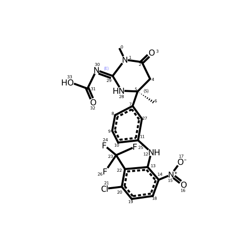 CN1C(=O)C[C@@](C)(c2cccc(Nc3c([N+](=O)[O-])ccc(Cl)c3C(F)(F)F)c2)N/C1=N\C(=O)O